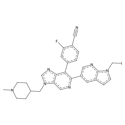 CN1CCC(Cn2cnc3c(-c4ccc(C#N)c(F)c4)c(-c4cnc5c(ccn5CI)c4)ncc32)CC1